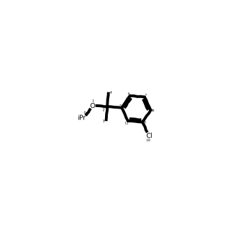 CC(C)OC(C)(C)c1cccc(Cl)c1